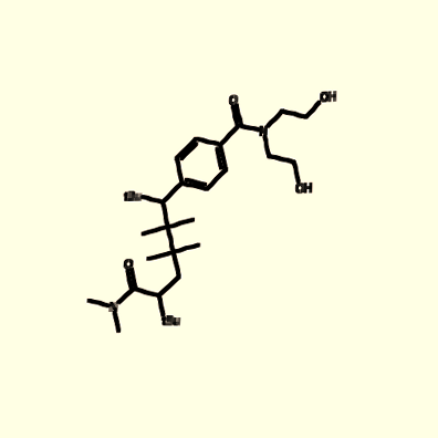 CN(C)C(=O)C(CC(C)(C)C(C)(C)C(c1ccc(C(=O)N(CCO)CCO)cc1)C(C)(C)C)C(C)(C)C